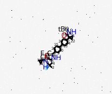 CC(C)(F)C[C@H](N[C@@H](c1ccc(-c2ccc(C3(C(=O)NC(C)(C)C)CC3)cc2)cc1)C(F)(F)F)C(=O)NC1(C#N)CC1